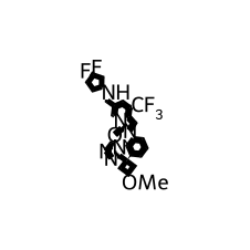 CO[C@H]1C[C@](c2cccc(-n3cc4c(C(F)(F)F)cc(CNC5CCC(F)(F)C5)cn4c3=O)c2)(c2nncn2C)C1